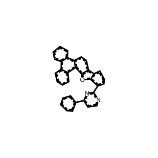 c1ccc(-c2ccnc(-c3cccc4c3oc3c4ccc4c5ccccc5c5ccccc5c43)n2)cc1